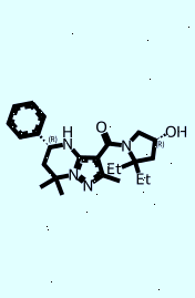 CCC1(CC)C[C@@H](O)CN1C(=O)c1c(C)nn2c1N[C@@H](c1ccccc1)CC2(C)C